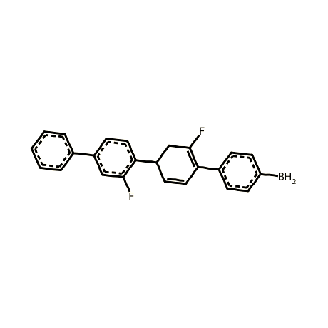 Bc1ccc(C2=C(F)CC(c3ccc(-c4ccccc4)cc3F)C=C2)cc1